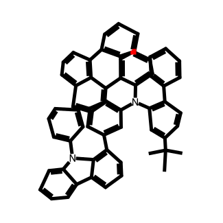 CC(C)(C)c1ccc(-c2ccccc2)c(N(c2cccc(-c3cccc4c5ccccc5n(-c5ccccc5)c34)c2)c2ccccc2-c2cccc3cccc(-c4ccccc4)c23)c1